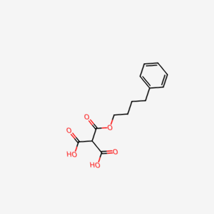 O=C(O)C(C(=O)O)C(=O)OCCCCc1ccccc1